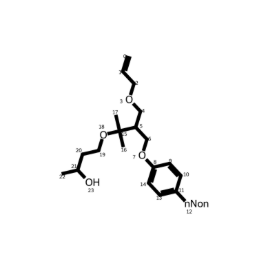 C=CCOCC(COc1ccc(CCCCCCCCC)cc1)C(C)(C)OCCC(C)O